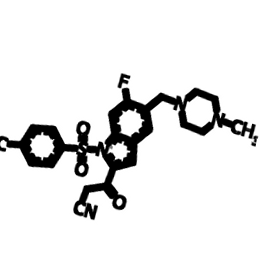 Cc1ccc(S(=O)(=O)n2c(C(=O)CC#N)cc3cc(CN4CCN(C)CC4)c(F)cc32)cc1